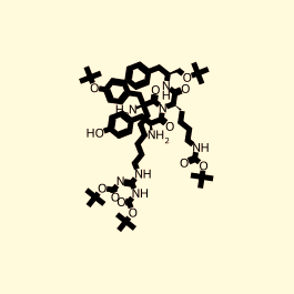 CC(C)(C)OC[C@H](Cc1ccccc1)NC(=O)[C@H](CCCCNC(=O)OC(C)(C)C)N(C(=O)[C@@H](N)Cc1ccc(O)cc1)C(=O)[C@](N)(CCCCCCNC(=NC(=O)OC(C)(C)C)NC(=O)OC(C)(C)C)Cc1ccc(OC(C)(C)C)cc1